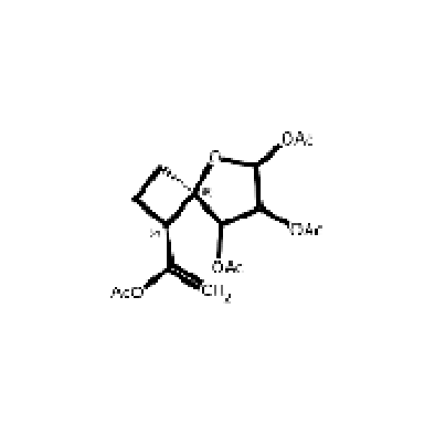 C=C(OC(C)=O)[C@H]1CC[C@@]12OC(OC(C)=O)C(OC(C)=O)C2OC(C)=O